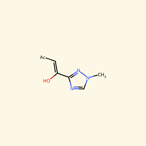 CC(=O)/C=C(\O)c1ncn(C)n1